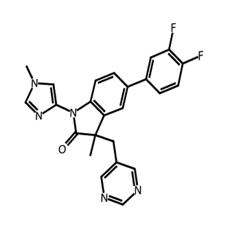 Cn1cnc(N2C(=O)C(C)(Cc3cncnc3)c3cc(-c4ccc(F)c(F)c4)ccc32)c1